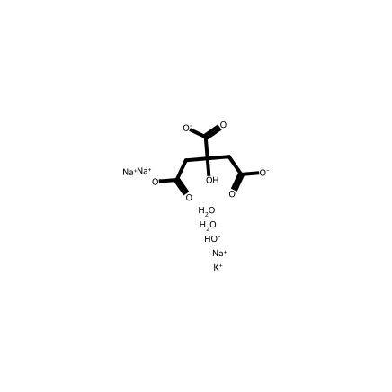 O.O.O=C([O-])CC(O)(CC(=O)[O-])C(=O)[O-].[K+].[Na+].[Na+].[Na+].[OH-]